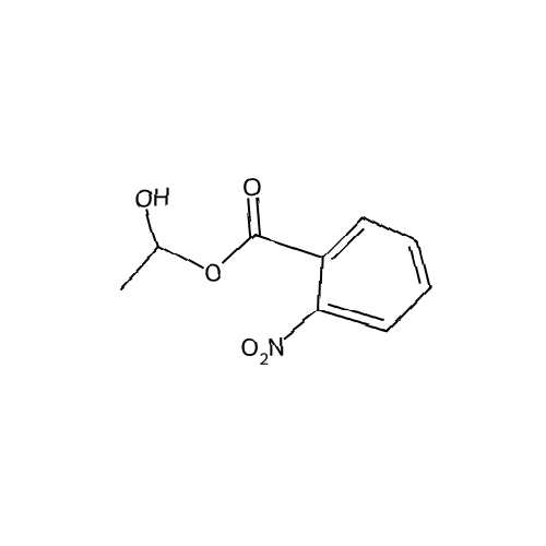 CC(O)OC(=O)c1ccccc1[N+](=O)[O-]